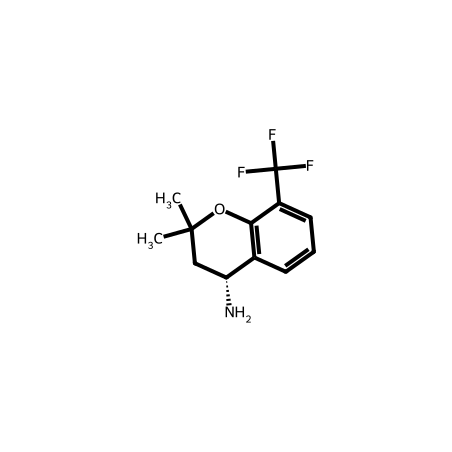 CC1(C)C[C@@H](N)c2cccc(C(F)(F)F)c2O1